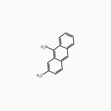 Cc1ccc2cc3ccccc3c([N+](=O)[O-])c2c1